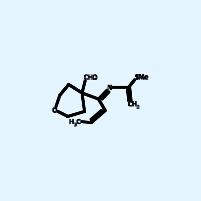 C=C(/N=C(\C=C/C)C1(C=O)CCOCC1)SC